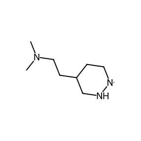 CN(C)CCC1CC[N]NC1